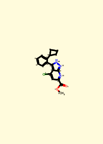 COC(=O)c1cc(Cl)c2c(-c3ccccc3C3CCC3)[nH]nc2n1